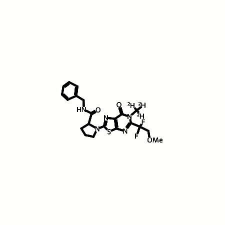 [2H]C([2H])([2H])n1c(C(F)(F)COC)nc2sc(N3CCCC3C(=O)NCc3ccccc3)nc2c1=O